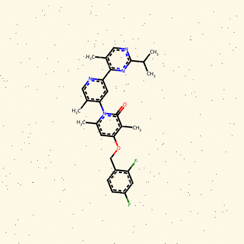 Cc1cnc(-c2nc(C(C)C)ncc2C)cc1-n1c(C)cc(OCc2ccc(F)cc2F)c(C)c1=O